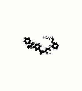 O=C(O)CCc1ccccc1OCC[C@@H](O)C1CC1c1cccc(NS(=O)(=O)c2ccccc2)c1